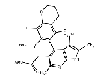 COC(=O)Cc1c(C)nc2[nH]c(C)c(C)c2c1-c1c(C)c2c(c(F)c1OC(C)(C)C)OCCC2